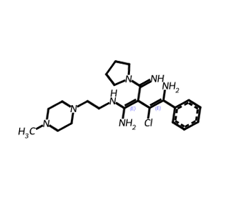 CN1CCN(CCN/C(N)=C(C(=N)N2CCCC2)/C(Cl)=C(\N)c2ccccc2)CC1